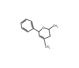 CC1=CC(c2ccccc2)OC(C)C1